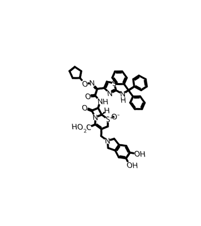 O=C(O)C1=C(CN2Cc3cc(O)c(O)cc3C2)C[S+]([O-])[C@H]2C(NC(=O)/C(=N\OC3CCCC3)c3csc(NC(c4ccccc4)(c4ccccc4)c4ccccc4)n3)C(=O)N12